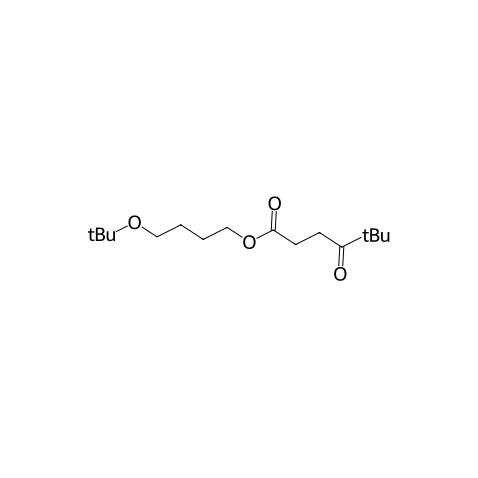 CC(C)(C)OCCCCOC(=O)CCC(=O)C(C)(C)C